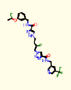 CC(F)Oc1cccc(CNC(=O)c2cn(CCC(F)Cn3cc(C(=O)NCc4cncc(C(F)(F)F)c4)nn3)nn2)c1